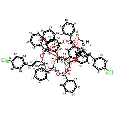 C[Si]1(/C=C/c2ccc(Cl)cc2)O[Si](O[SiH3])(c2ccccc2)O[Si@]2(c3ccccc3)O[Si]3(c4ccccc4)O[SiH](c4ccccc4)O[Si]4(c5ccccc5)O[Si](c5ccccc5)(O1)O[Si@@](c1ccccc1)(O[Si](c1ccccc1)(O[Si](C)(/C=C/c1ccc(Cl)cc1)O3)O4)O2